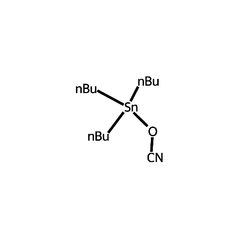 CCC[CH2][Sn]([CH2]CCC)([CH2]CCC)[O]C#N